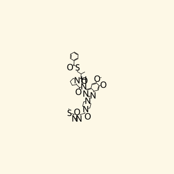 COc1cc2nc(N3CCN(C(=O)c4nnc(SC)o4)CC3)nc(NC(=O)C3CCCN3C(=O)C(C)CSC(=O)c3ccccc3)c2cc1OC